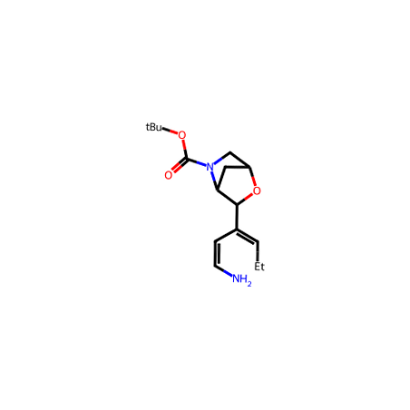 CC/C=C(\C=C/N)C1OC2CC1N(C(=O)OC(C)(C)C)C2